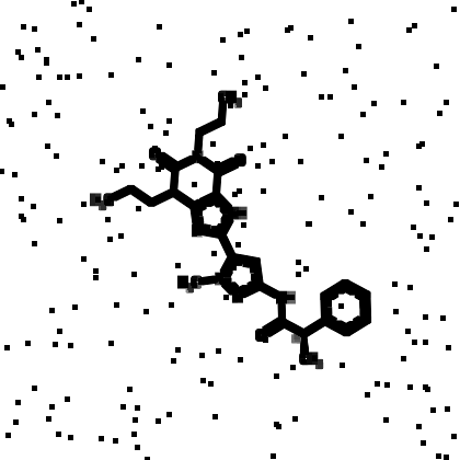 CCCC1C(=O)N(CCC)C(=O)c2[nH]c(-c3cc(NC(=O)[C@H](C)c4ccccc4)nn3C)nc21